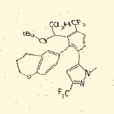 Cn1nc(C(F)(F)F)cc1-c1ccc(C(F)(F)F)c(C(OC(C)(C)C)C(=O)O)c1-c1ccc2c(c1)CCCO2